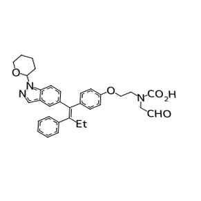 CCC(=C(c1ccc(OCCN(CC=O)C(=O)O)cc1)c1ccc2c(cnn2C2CCCCO2)c1)c1ccccc1